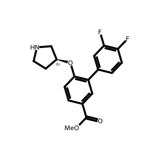 COC(=O)c1ccc(O[C@H]2CCNC2)c(-c2ccc(F)c(F)c2)c1